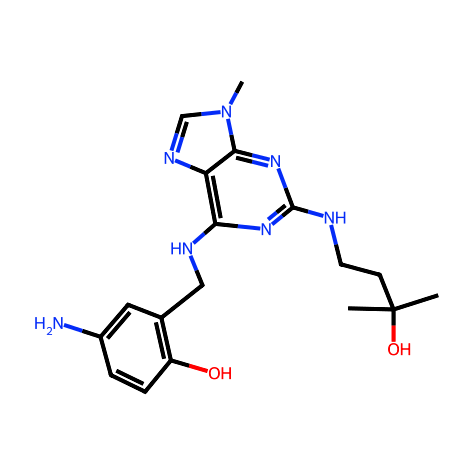 Cn1cnc2c(NCc3cc(N)ccc3O)nc(NCCC(C)(C)O)nc21